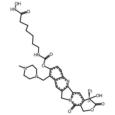 CC[C@@]1(O)C(=O)OCc2c1cc1n(c2=O)Cc2cc3c(CN4CCN(C)CC4)c(OC(=O)NCCCCCCC(=O)NO)ccc3nc2-1